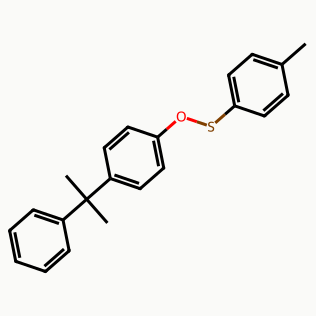 Cc1ccc(SOc2ccc(C(C)(C)c3ccccc3)cc2)cc1